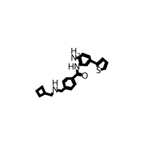 Nc1ccc(-c2cccs2)cc1NC(=O)c1ccc(CNCC2CCC2)cc1